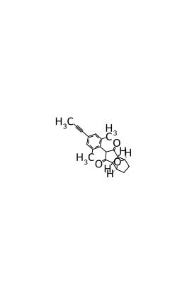 CC#Cc1cc(C)c(C2C(=O)[C@@H]3[C@H](C2=O)[C@H]2CC[C@@H]3O2)c(C)c1